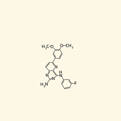 COc1ccc(-c2ccc3nc(N)nc(Nc4cccc(F)c4)c3n2)cc1OC